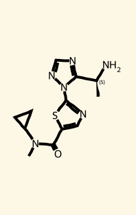 C[C@H](N)c1ncnn1-c1ncc(C(=O)N(C)C2CC2)s1